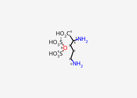 NCCCC(N)C(=O)O.O=S(=O)(O)OS(=O)(=O)O